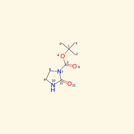 CC(C)(C)OC(=O)N1CCNC1=O